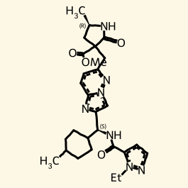 CCn1nccc1C(=O)N[C@H](c1cn2nc(CC3(C(=O)OC)C[C@@H](C)NC3=O)ccc2n1)C1CCC(C)CC1